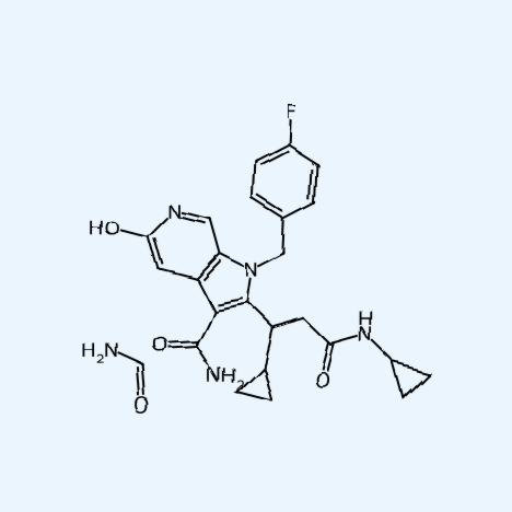 NC(=O)c1c(C(CC(=O)NC2CC2)C2CC2)n(Cc2ccc(F)cc2)c2cnc(O)cc12.NC=O